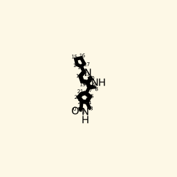 O=C1NCc2cc(-c3c[nH]c4nc(C5CCCC5)ccc34)ccc21